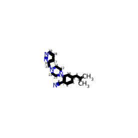 CC(C)Cc1ccc(C#N)c(N2CCN(Cc3cccnn3)CC2)c1